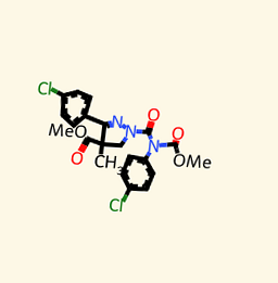 COC(=O)N(C(=O)N1CC(C)(C(=O)OC)C(c2ccc(Cl)cc2)=N1)c1ccc(Cl)cc1